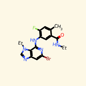 CCNC(=O)c1cc(Nc2nc(Br)cc3ncn(CC)c23)c(F)cc1C